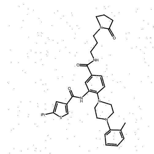 Cc1ccccc1N1CCN(c2ccc(C(=O)NCCCN3CCCC3=O)cc2NC(=O)c2csc(C(C)C)c2)CC1